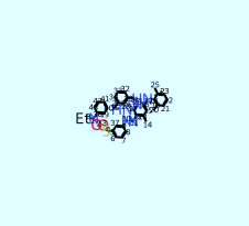 CCN(OOSc1cccc(N=Nc2c(C)cc(Nc3c(C)cccc3C)nc2Nc2c(C)cccc2C)c1)c1ccccc1